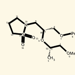 COC[C@H](C)O[C@@H](COC(C)C)CN1CCCS1(=O)=O